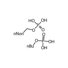 CCCCCCCCCCOP(=O)(O)O.CCCCOP(=O)(O)O